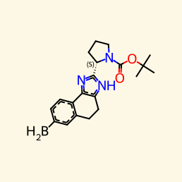 Bc1ccc2c(c1)CCc1[nH]c([C@@H]3CCCN3C(=O)OC(C)(C)C)nc1-2